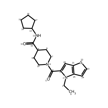 CCn1c(C(=O)N2CCC(C(=O)NC3CCCC3)CC2)cc2sccc21